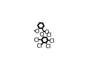 COc1ccccc1C(=O)Oc1c(Cl)c(Cl)c(Cl)c(Cl)c1Cl